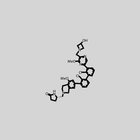 COc1cc(-c2cccc(-c3cccc(-c4cnc(CN5CC(O)C5)c(OC)n4)c3Cl)c2Cl)cc2c1CCN(C[C@@H]1CCC(=O)N1)C2